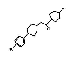 CC(=O)C1CCC(C(Cl)CC2CCC(c3ccc(C#N)cc3)CC2)CC1